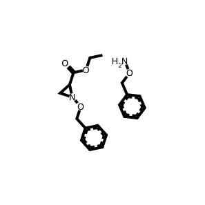 CCOC(=O)C1CN1OCc1ccccc1.NOCc1ccccc1